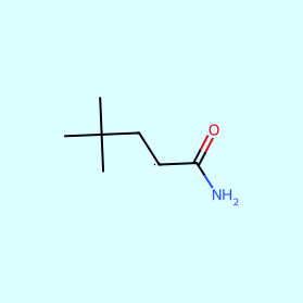 CC(C)(C)C[CH]C(N)=O